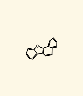 [c]1ccc2ccc3c4ccccc4oc3c2c1